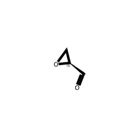 O=[C][C@@H]1CO1